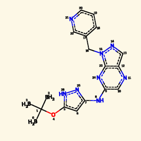 BC(B)(B)Oc1cc(Nc2cnc3cnn(Cc4cccnc4)c3n2)n[nH]1